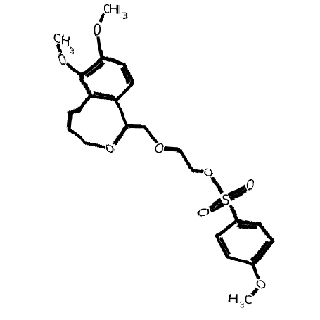 COc1ccc(S(=O)(=O)OCCOCC2OCCCc3c2ccc(OC)c3OC)cc1